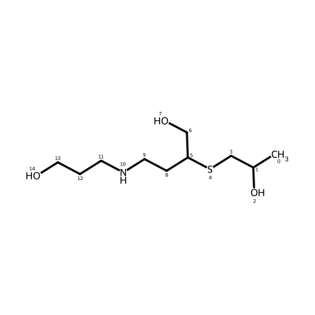 CC(O)CSC(CO)CCNCCCO